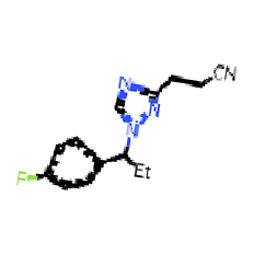 CCC(c1ccc(F)cc1)n1cnc(CCC#N)n1